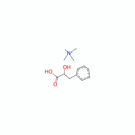 C[N+](C)(C)C.O=C(O)C(O)Cc1ccccc1